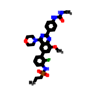 CCCS(=O)(=O)Nc1cccc(-c2cc(OC)c3nc(-c4ccc(NC(=O)NC)cc4)nc(N4CCOCC4)c3c2)c1F